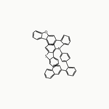 c1ccc(-c2ccc3ccccc3c2)c(-c2ccc(N(c3ccccc3-c3ccc4c(c3)oc3ccccc34)c3cccc4sc5ccccc5c34)cc2)c1